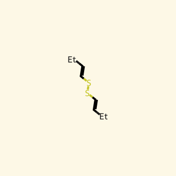 CCC=CSSC=CCC